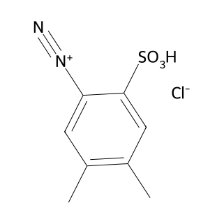 Cc1cc([N+]#N)c(S(=O)(=O)O)cc1C.[Cl-]